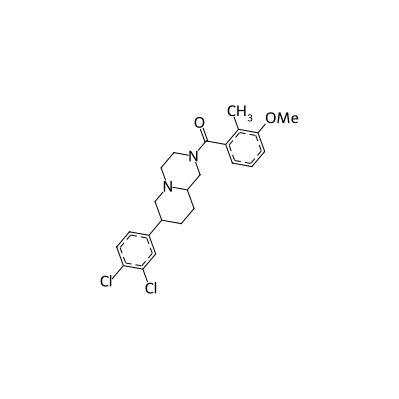 COc1cccc(C(=O)N2CCN3CC(c4ccc(Cl)c(Cl)c4)CCC3C2)c1C